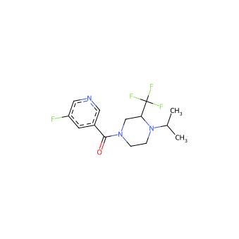 CC(C)N1CCN(C(=O)c2cncc(F)c2)CC1C(F)(F)F